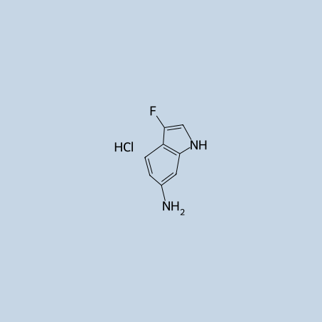 Cl.Nc1ccc2c(F)c[nH]c2c1